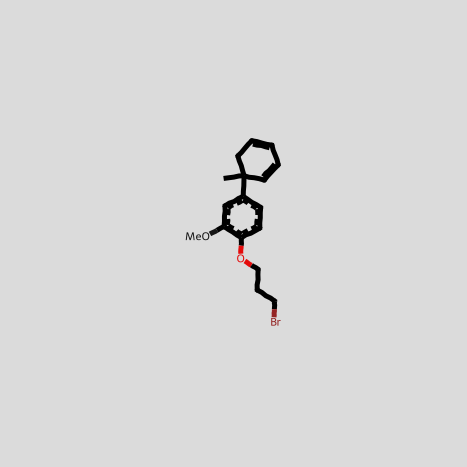 COc1cc(C2(C)C=CC=CC2)ccc1OCCCBr